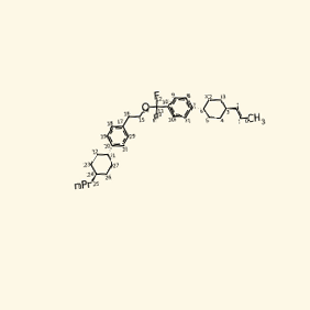 C/C=C/[C@H]1CC[C@H](c2ccc(C(F)(F)OCCc3ccc([C@H]4CC[C@H](CCC)CC4)cc3)cc2)CC1